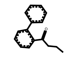 CCCC(=O)c1ccccc1-c1ccccc1